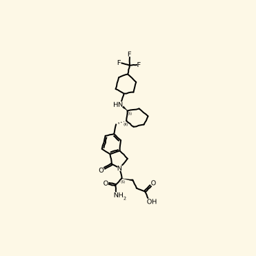 NC(=O)[C@H](CCC(=O)O)N1Cc2cc(C[C@H]3CCCC[C@@H]3NC3CCC(C(F)(F)F)CC3)ccc2C1=O